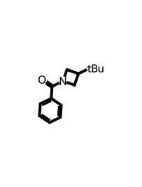 CC(C)(C)C1CN(C(=O)c2ccccc2)C1